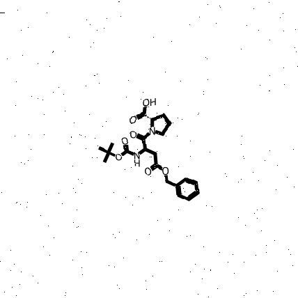 CC(C)(C)OC(=O)NC(CC(=O)OCc1ccccc1)C(=O)N1CCC[C@H]1C(=O)O